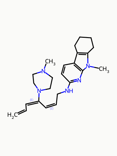 C=C/C=C(\C=C/CNc1ccc2c3c(n(C)c2n1)CCCC3)N1CCN(C)CC1